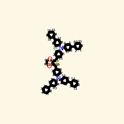 c1ccc(-c2ccc(N(c3ccc(-c4ccccc4)cc3)c3ccc(-c4sc(-c5ccc(N(c6ccc(-c7ccccc7)cc6)c6ccc(-c7ccccc7)cc6)cc5)c5c4OCCO5)cc3)cc2)cc1